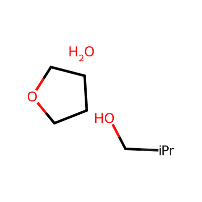 C1CCOC1.CC(C)CO.O